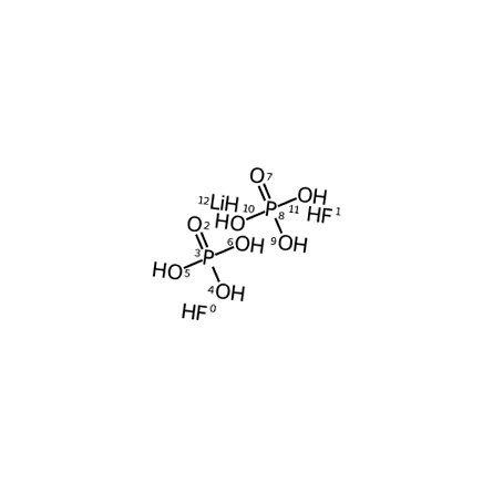 F.F.O=P(O)(O)O.O=P(O)(O)O.[LiH]